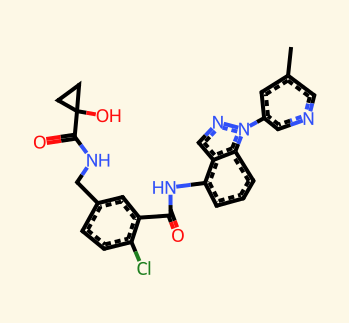 Cc1cncc(-n2ncc3c(NC(=O)c4cc(CNC(=O)C5(O)CC5)ccc4Cl)cccc32)c1